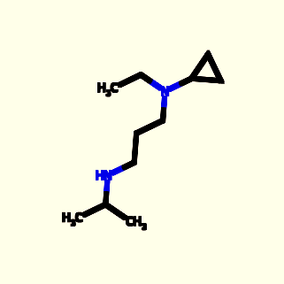 CCN(CCCNC(C)C)C1CC1